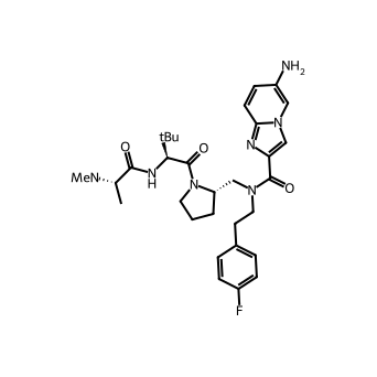 CN[C@@H](C)C(=O)N[C@H](C(=O)N1CCC[C@H]1CN(CCc1ccc(F)cc1)C(=O)c1cn2cc(N)ccc2n1)C(C)(C)C